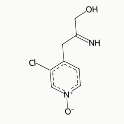 N=C(CO)Cc1cc[n+]([O-])cc1Cl